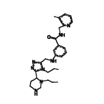 CCCN1CNCCC1c1nnc(CNc2cccc(C(=O)NCc3ncccc3C)c2)n1CCC